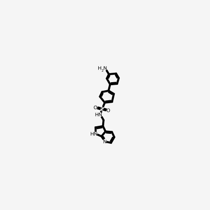 Nc1cccc(-c2ccc(S(=O)(=O)NCc3c[nH]c4ncccc34)cc2)c1